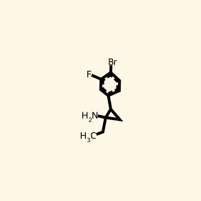 CCC1(N)CC1c1ccc(Br)c(F)c1